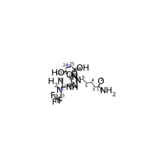 NC(=O)CCCCn1ncc(N/C(N)=N\CC(F)(F)F)n1.O=C(O)/C=C\C(=O)O